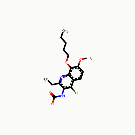 CCCCCOc1c(OC)ccc2c(Cl)c(NC(=O)O)c(CC)nc12